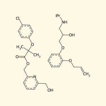 C=CCOc1ccccc1OCC(O)CNC(C)C.CC(C)(Oc1ccc(Cl)cc1)C(=O)OCc1cccc(CO)n1